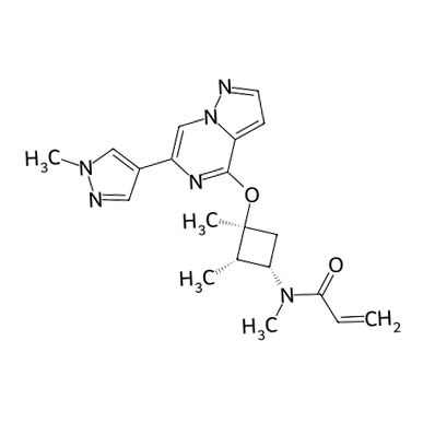 C=CC(=O)N(C)[C@H]1C[C@](C)(Oc2nc(-c3cnn(C)c3)cn3nccc23)[C@H]1C